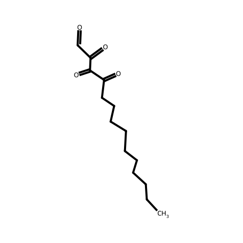 CCCCCCCCCCC(=O)C(=O)C(=O)C=O